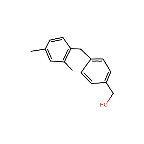 Cc1ccc(Cc2ccc(CO)cc2)c(C)c1